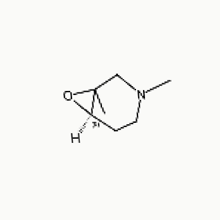 CN1CC[C@H]2OC2(C)C1